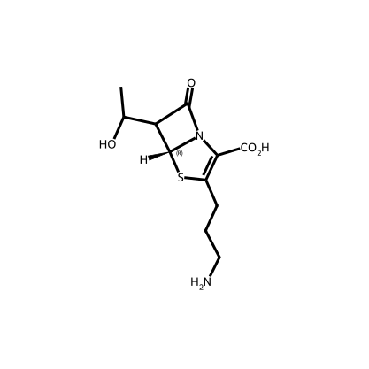 CC(O)C1C(=O)N2C(C(=O)O)=C(CCCN)S[C@H]12